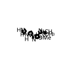 COc1cc2ncc(-c3cccc(NC4CCNCC4(F)F)n3)n2cc1-c1cnn(CC(C)(C)O)c1